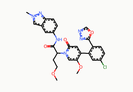 COCCC(C(=O)Nc1ccc2nn(C)cc2c1)n1cc(OC)c(-c2cc(Cl)ccc2-c2nnco2)cc1=O